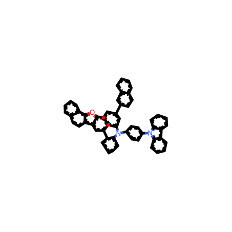 c1cc(-c2ccc3ccccc3c2)cc(N(c2ccc(-n3c4ccccc4c4ccccc43)cc2)c2ccccc2-c2ccc3oc4c5ccccc5ccc4c3c2)c1